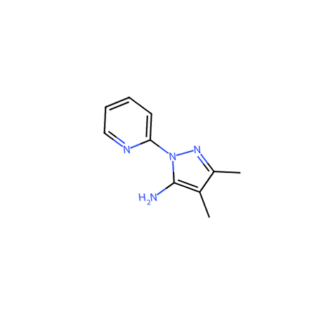 Cc1nn(-c2ccccn2)c(N)c1C